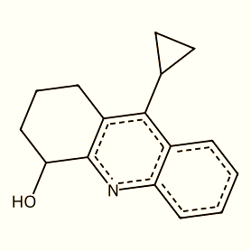 OC1CCCc2c1nc1ccccc1c2C1CC1